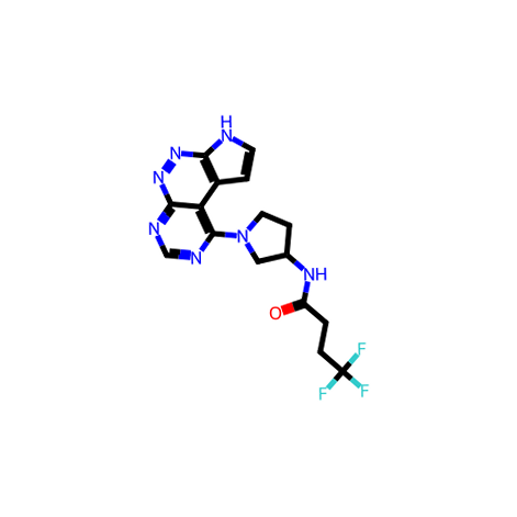 O=C(CCC(F)(F)F)NC1CCN(c2ncnc3nnc4[nH]ccc4c23)C1